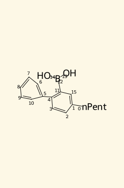 CCCCCc1ccc(-c2ccccc2)c(B(O)O)c1